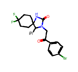 CC(C)C1N(CC(=O)c2ccc(Br)cc2)C(=O)NC12CCC(F)(F)CC2